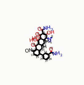 CN(C)C1C(O)=C(C(N)=O)C(=O)[C@@]2(O)C(O)=C3C(=O)c4c(N=O)ccc(-c5cccc(C(N)=O)c5)c4C[C@H]3C[C@@H]12